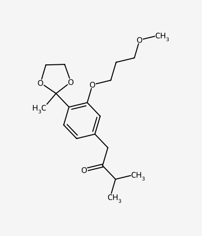 COCCCOc1cc(CC(=O)C(C)C)ccc1C1(C)OCCO1